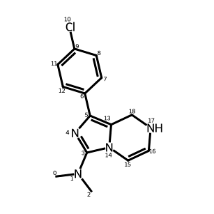 CN(C)c1nc(-c2ccc(Cl)cc2)c2n1C=CNC2